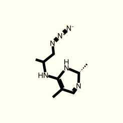 CC1=C(NC(C)CN=[N+]=[N-])N[C@H](C)N=C1